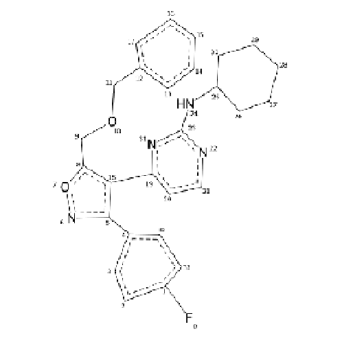 Fc1ccc(-c2noc(COCc3ccccc3)c2-c2ccnc(NC3CCCCC3)n2)cc1